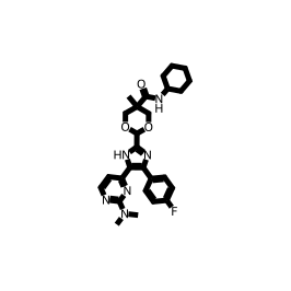 CN(C)c1nccc(-c2[nH]c(C3OCC(C)(C(=O)NC4CCCCC4)CO3)nc2-c2ccc(F)cc2)n1